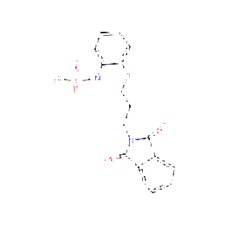 CS(=O)(=O)Nc1ccccc1OCCCN1C(=O)c2ccccc2C1=O